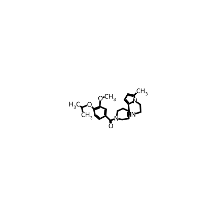 COc1cc(C(=O)N2CCC3(CC2)NCCn2c(C)ccc23)ccc1OC(C)C